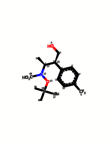 C[C@@H]([C@@H](CO)c1ccc(C(F)(F)F)cc1)N(O[Si](C)(C)C(C)(C)C)C(=O)O